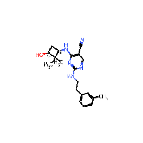 Cc1cccc(CCNc2ncc(C#N)c(N[C@@H]3C[C@H](O)C3(C)C)n2)c1